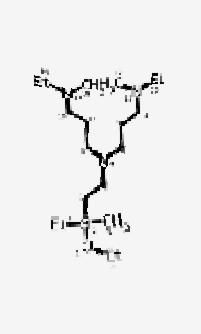 CCO[Si](C)(CC)CCN(CCCN(C)CC)CCCN(C)CC